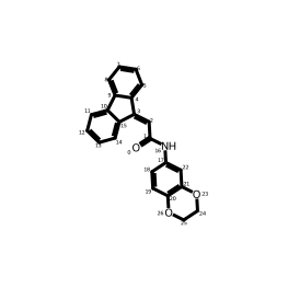 O=C(C=C1c2ccccc2-c2ccccc21)Nc1ccc2c(c1)OCCO2